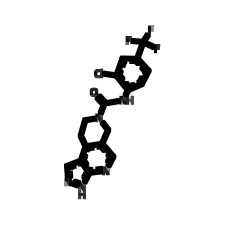 O=C(Nc1ccc(C(F)(F)F)cc1Cl)N1CCc2c(cnc3[nH]ncc23)C1